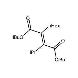 CCCCCCC(C(=O)OCC(C)C)=C(C(=O)OCC(C)C)C(C)C